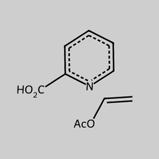 C=COC(C)=O.O=C(O)c1ccccn1